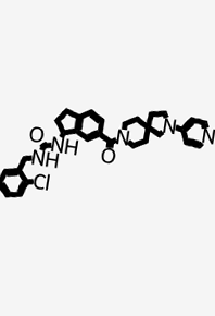 O=C(NCc1ccccc1Cl)NC1CCc2ccc(C(=O)N3CCC4(CC3)CCN(c3ccncc3)C4)cc21